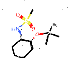 CC(C)(C)[Si](C)(C)O[C@@H]1CCCC[C@H]1NS(C)(=O)=O